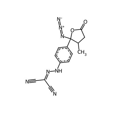 CC1CC(=O)OC1(N=[N+]=[N-])c1ccc(NN=C(C#N)C#N)cc1